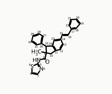 CC1(C(=O)Nc2nccs2)Cc2ccc(C=Cc3ccccc3)cc2C1c1ccccc1